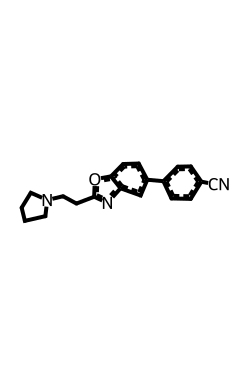 N#Cc1ccc(-c2ccc3oc(CCN4CCCC4)nc3c2)cc1